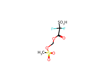 CS(=O)(=O)OCOC(=O)C(F)(F)S(=O)(=O)O